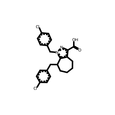 O=C(O)c1nn(Cc2ccc(Cl)cc2)c2c1CCCCC2Cc1ccc(Cl)cc1